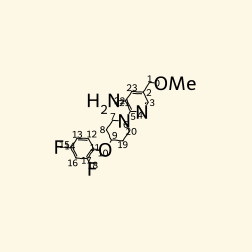 COCc1cnc(N2CCC(Oc3ccc(F)cc3F)CC2)c(N)c1